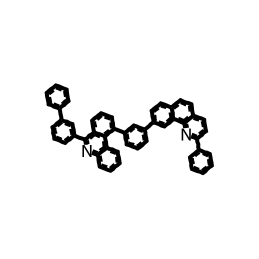 c1ccc(-c2cccc(-c3nc4ccccc4c4c(-c5cccc(-c6ccc7ccc8ccc(-c9ccccc9)nc8c7c6)c5)cccc34)c2)cc1